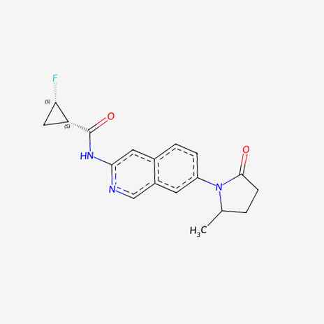 CC1CCC(=O)N1c1ccc2cc(NC(=O)[C@@H]3C[C@@H]3F)ncc2c1